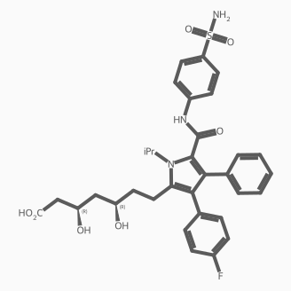 CC(C)n1c(CC[C@@H](O)C[C@@H](O)CC(=O)O)c(-c2ccc(F)cc2)c(-c2ccccc2)c1C(=O)Nc1ccc(S(N)(=O)=O)cc1